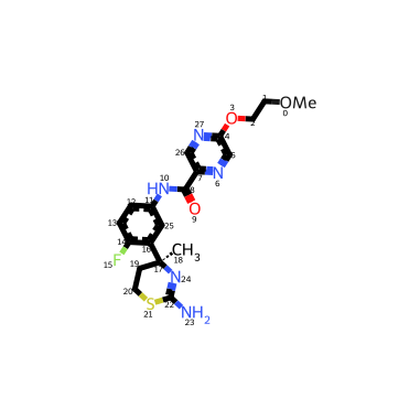 COCCOc1cnc(C(=O)Nc2ccc(F)c([C@]3(C)CCSC(N)=N3)c2)cn1